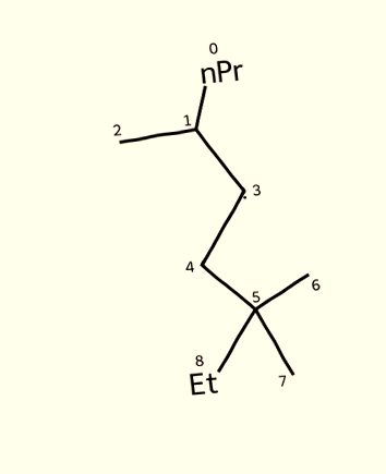 CCCC(C)[CH]CC(C)(C)CC